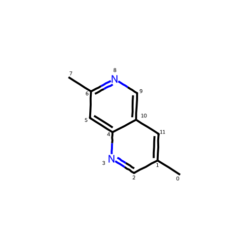 Cc1cnc2cc(C)ncc2c1